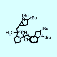 CC(C)(C)C1Cc2c(CC(C)(C)N3CCCC3C(C)(C)CC3C4CC(C(C)(C)C)N(C(C)(C)C)C43)cccc2N1C(C)(C)C